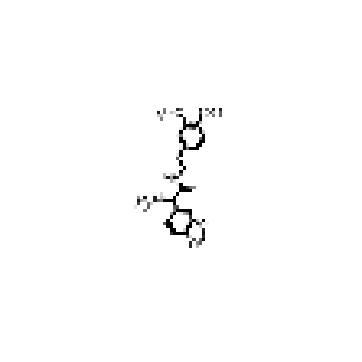 COc1ccc(CCNC(=O)C(N)c2ccc3c(c2)OCO3)cc1OC